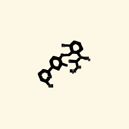 CCc1cccc(N(N)C(=O)NN)c1COc1ccc(-c2cccc(C#N)n2)cc1C